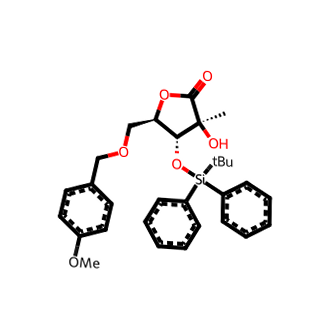 COc1ccc(COC[C@H]2OC(=O)[C@@](C)(O)[C@@H]2O[Si](c2ccccc2)(c2ccccc2)C(C)(C)C)cc1